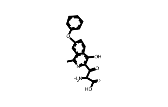 Cc1nc(C(=O)C(N)C(=O)O)c(O)c2ccc(Oc3ccccc3)cc12